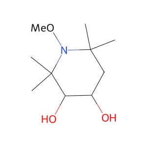 CON1C(C)(C)CC(O)C(O)C1(C)C